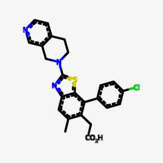 Cc1cc2nc(N3CCc4ccncc4C3)sc2c(-c2ccc(Cl)cc2)c1CC(=O)O